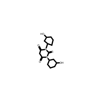 O=C1CC(=O)N(C2CCCC(O)C2)C(=S)N1C1CCCC(O)C1